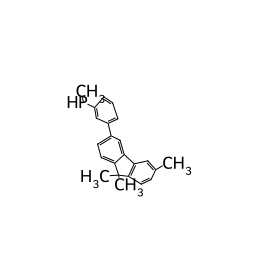 CPc1cccc(-c2ccc3c(c2)-c2cc(C)ccc2C3(C)C)c1